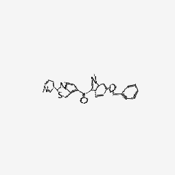 Cn1cc(C(=O)c2ccn3c2CSC3c2cccnc2)c2ccc(OCc3ccccc3)cc21